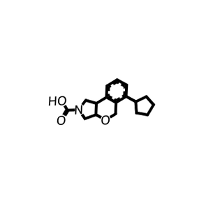 O=C(O)N1CC2OCc3c(C4CCCC4)cccc3C2C1